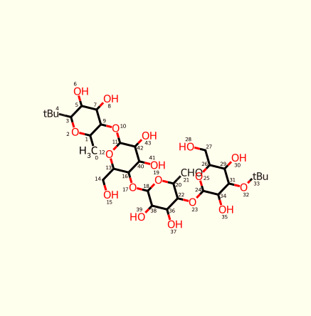 CC1OC(C(C)(C)C)C(O)C(O)C1OC1OC(CO)C(OC2OC(C=O)C(OC3OC(CO)C(O)C(OC(C)(C)C)C3O)C(O)C2O)C(O)C1O